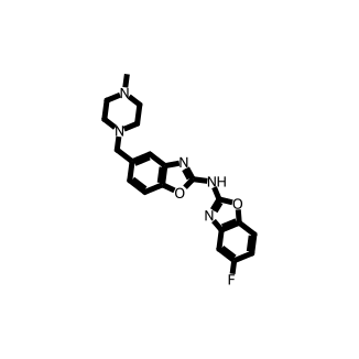 CN1CCN(Cc2ccc3oc(Nc4nc5cc(F)ccc5o4)nc3c2)CC1